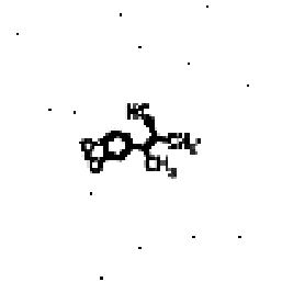 C#CC([CH2])=C(C)c1ccc2c(c1)OCO2